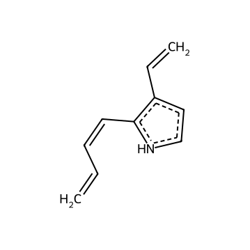 C=C/C=C\c1[nH]ccc1C=C